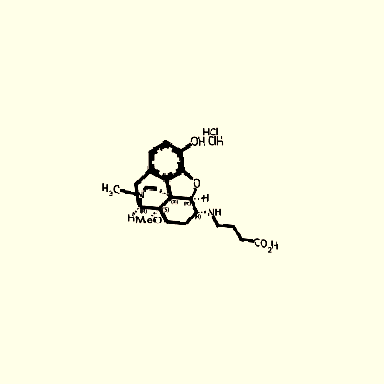 CO[C@@]12CC[C@@H](NCCCC(=O)O)[C@@H]3Oc4c(O)ccc5c4[C@@]31CCN(C)[C@@H]2C5.Cl.Cl